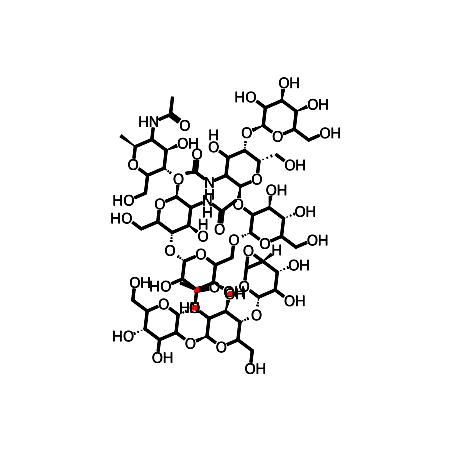 CC(=O)NC1C(O)[C@H](O[C@@H]2OC(CO)[C@H](O)[C@H](O)C2O)[C@H](CO)O[C@H]1OC1[C@@H](OCC2O[C@@H](O[C@@H]3C(CO)O[C@@H](O[C@@H]4C(CO)O[C@@H](C)C(NC(C)=O)[C@H]4O)C(NC(C)=O)[C@H]3O)C(O)[C@@H](O[C@H]3OC(CO)[C@@H](O)C(O)C3O[C@@H]3OC(CO)[C@@H](O[C@@H]4OC5O[C@@H]5[C@H](O)C4O)[C@H](O)C3NC(C)=O)[C@@H]2O)OC(CO)[C@@H](O)[C@@H]1O